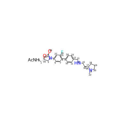 CC(=O)NC[C@H]1CN(c2ccc(-c3ccc(CNCC[C@H]4CCCN4C)cc3)c(F)c2)C(=O)O1